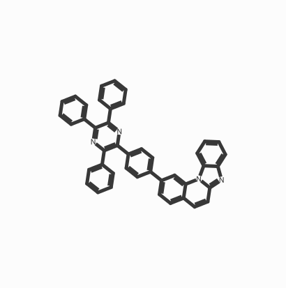 c1ccc(-c2nc(-c3ccccc3)c(-c3ccc(-c4ccc5ccc6nc7ccccc7n6c5c4)cc3)nc2-c2ccccc2)cc1